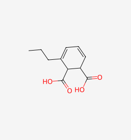 CCCC1=CC=CC(C(=O)O)C1C(=O)O